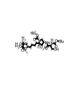 CC(C)(C)OC(=O)NC(CO)C(=O)N[C@H]1CN(C(=O)OC(C)(C)C)[C@@](CCCCB2OC(C)(C)C(C)(C)O2)(C(=O)O)C1